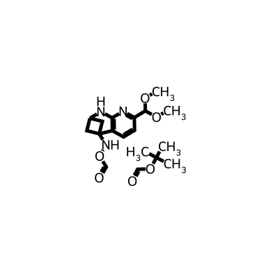 CC(C)(C)OC=O.COC(OC)c1ccc2c(n1)NC1CC2(NOC=O)C1